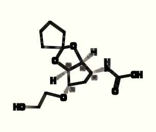 O=C(O)N[C@@H]1C[C@H](OCCO)[C@H]2OC3(CCCC3)O[C@H]21